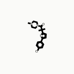 CN1CCN(C(=O)C(C)(C)c2ccc(-c3ccc(Cl)cc3)s2)CC1